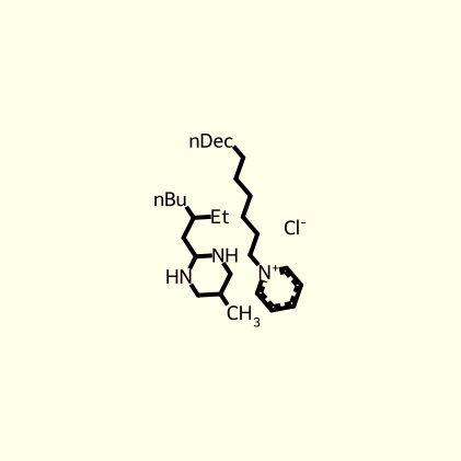 CCCCC(CC)CC1NCC(C)CN1.CCCCCCCCCCCCCCCC[n+]1ccccc1.[Cl-]